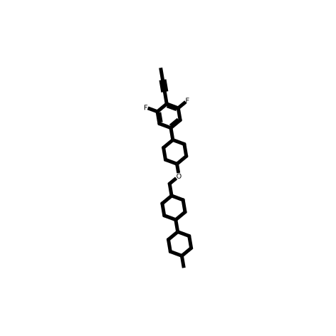 CC#Cc1c(F)cc(C2CCC(OCC3CCC(C4CCC(C)CC4)CC3)CC2)cc1F